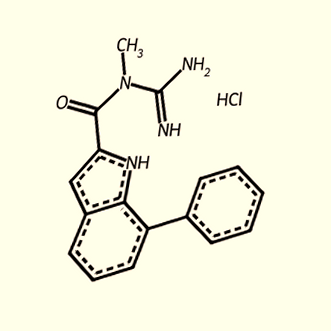 CN(C(=N)N)C(=O)c1cc2cccc(-c3ccccc3)c2[nH]1.Cl